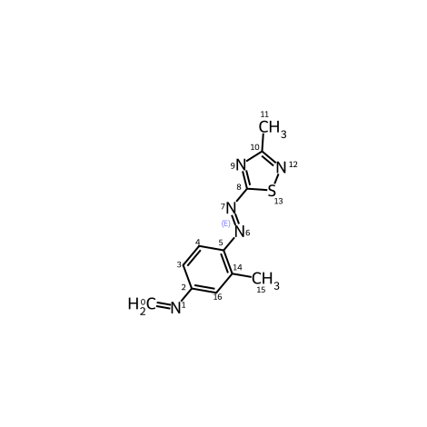 C=Nc1ccc(/N=N/c2nc(C)ns2)c(C)c1